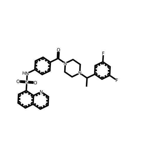 CC(c1cc(F)cc(F)c1)N1CCN(C(=O)c2ccc(NS(=O)(=O)c3cccc4cccnc34)cc2)CC1